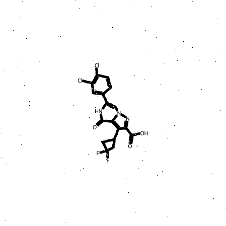 O=C(O)c1nn2cc(-c3ccc(Cl)c(Cl)c3)[nH]c(=O)c2c1C1CC(F)(F)C1